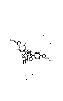 CCCCOc1c(C)cc(S(=O)(=O)C(=[N+]=[N-])S(=O)(=O)c2cc(C)c(OCCCC)c(C)c2)cc1C